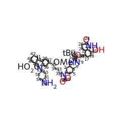 COc1cc2c(cc1CNC[C@H](O[Si](C)(C)C(C)(C)C)c1ccc(O)c3[nH]c(=O)ccc13)oc(=O)n2CCCCc1ccc(-c2ccccc2)c(N(C(=O)O)[C@H]2CC[C@H](N)CC2)c1